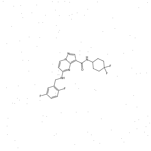 O=C(NC1CCC(F)(F)CC1)c1cnn2ccc(NCc3cc(F)ccc3F)nc12